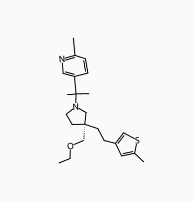 CCOC[C@]1(CCc2csc(C)c2)CCN(C(C)(C)c2ccc(C)nc2)C1